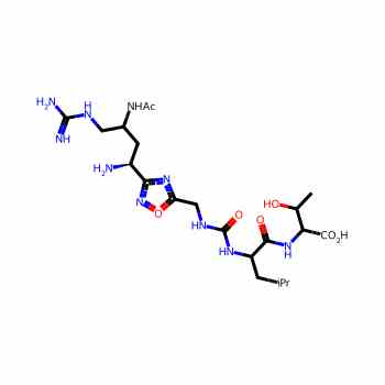 CC(=O)NC(CNC(=N)N)C[C@H](N)c1noc(CNC(=O)NC(CC(C)C)C(=O)NC(C(=O)O)C(C)O)n1